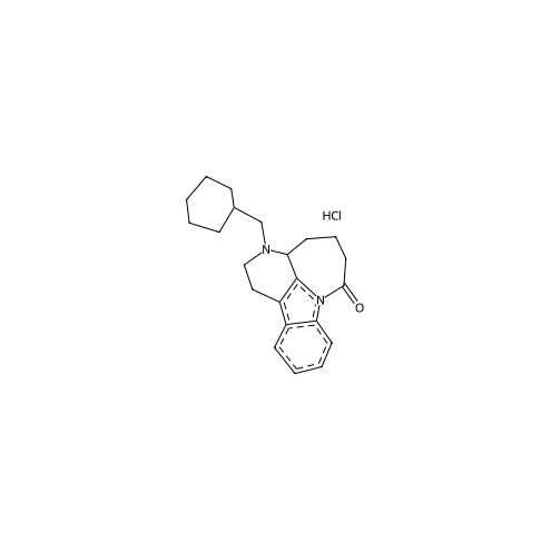 Cl.O=C1CCCC2c3c(c4ccccc4n31)CCN2CC1CCCCC1